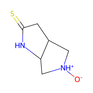 [O-][NH+]1CC2CC(=S)NC2C1